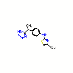 CC(c1ccc(Nc2nc(C(C)(C)C)cs2)cc1)c1nnn[nH]1